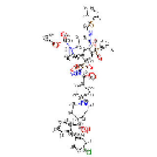 CN(CC[C@H](CSc1ccccc1)Nc1ccc(S(=O)(=O)NC(=O)c2ccc(N3CCC([C@H](O)c4ccccc4-c4ccc(Cl)cc4)CC3)cc2)cc1S(=O)(=O)C(F)(F)F)C(=O)OC(C)(C)C